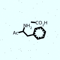 CC(=O)C(N)Cc1ccccc1.CC(=O)O